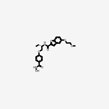 CC[C@@H](COc1ccc(C(=O)NO)cc1)NC(=O)c1cc2cc(OCCOC)ccc2o1